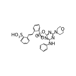 O=S(=O)(O)c1ccccc1C=Cc1ccccc1S(=O)(=O)Oc1nc(Nc2ccccc2)nc(N2CCOCC2)n1